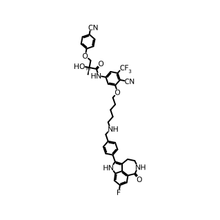 C[C@@](O)(COc1ccc(C#N)cc1)C(=O)Nc1cc(OCCCCCNCc2ccc(-c3[nH]c4cc(F)cc5c4c3CCNC5=O)cc2)c(C#N)c(C(F)(F)F)c1